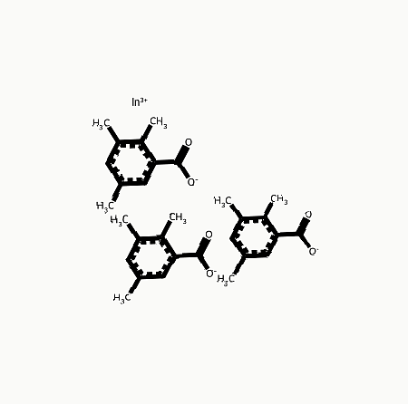 Cc1cc(C)c(C)c(C(=O)[O-])c1.Cc1cc(C)c(C)c(C(=O)[O-])c1.Cc1cc(C)c(C)c(C(=O)[O-])c1.[In+3]